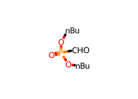 CCCCOP(=O)(C=O)OCCCC